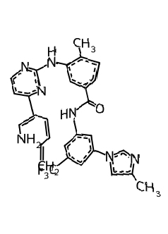 C=C/C=C\C(=C/N)c1ccnc(Nc2cc(C(=O)Nc3cc(-n4cnc(C)c4)cc(C(F)(F)F)c3)ccc2C)n1